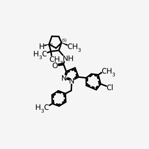 Cc1ccc(Cn2nc(C(=O)NC3C(C)(C)[C@@H]4CC[C@@]3(C)C4)cc2-c2ccc(Cl)c(C)c2)cc1